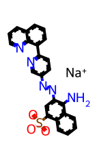 Nc1c(N=Nc2ccc(-c3cccc4cccnc34)nc2)cc(S(=O)(=O)[O-])c2ccccc12.[Na+]